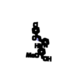 COc1cc(Nc2ncccc2/C=C/C(=O)c2ccc(Cl)cc2)ccc1CO